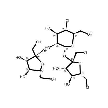 OC[C@H]1O[C@H](O[C@]2(CCl)O[C@H](CCl)[C@@H](O)[C@@H]2O)[C@H](O)[C@@H](O)[C@H]1Cl.OC[C@H]1O[C@](O)(CO)[C@@H](O)[C@@H]1O